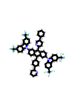 FC(F)(F)c1ccc2c(c1)c1cc(C(F)(F)F)ccc1n2-c1ccc2c(-c3ccc(-c4ccccc4)cn3)c3cc(-n4c5ccc(C(F)(F)F)cc5c5cc(C(F)(F)F)ccc54)ccc3c(-c3ccc(-c4ccccn4)cc3)c2c1